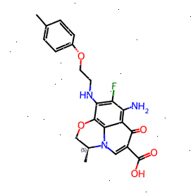 Cc1ccc(OCCNc2c(F)c(N)c3c(=O)c(C(=O)O)cn4c3c2OC[C@@H]4C)cc1